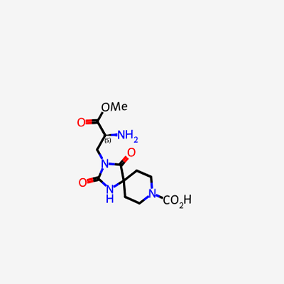 COC(=O)[C@@H](N)CN1C(=O)NC2(CCN(C(=O)O)CC2)C1=O